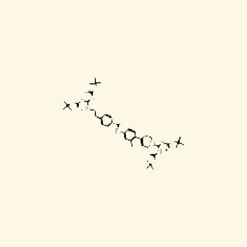 Cc1cc(NC(=O)c2ccc(CCNC(=NC(=O)OC(C)(C)C)NC(=O)OC(C)(C)C)cc2)ccc1C1=CCN(C(=NC(=O)OC(C)(C)C)NC(=O)OC(C)(C)C)CC1